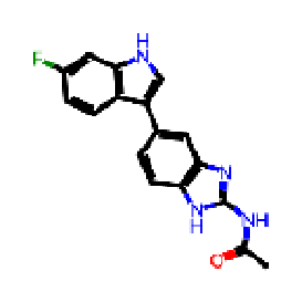 CC(=O)Nc1nc2cc(-c3c[nH]c4cc(F)ccc34)ccc2[nH]1